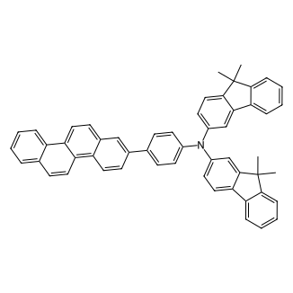 CC1(C)c2ccccc2-c2cc(N(c3ccc(-c4ccc5c(ccc6c7ccccc7ccc56)c4)cc3)c3ccc4c(c3)C(C)(C)c3ccccc3-4)ccc21